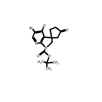 CC(C)(C)OC(=O)N1CC2(CCC(=O)C2)c2c1ncc(Br)c2Cl